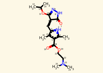 Cc1[nH]c(/C=C2\C(=O)NN=C2OC(C)C)c(C)c1C(=O)OCCN(C)C